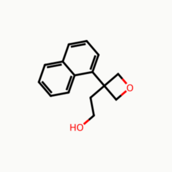 OCCC1(c2cccc3ccccc23)COC1